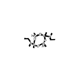 CCN(C)[Si]1(C)O[SiH](C)O[Si](C)(N(C)CC)O[SiH](C)O1